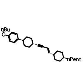 CCCCC[C@H]1CC[C@H](/C=C/C#C[C@H]2CC[C@H](c3ccc(OCCCC)cc3)CC2)CC1